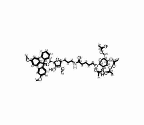 COc1ccc(C(OC[C@H]2O[C@@H](CCCNC(=O)CCCCO[C@@H]3O[C@H](COC(C)=O)[C@H](OC(C)=O)[C@H](OC(C)=O)[C@H]3NC(C)=O)[C@H](OC)[C@@H]2O)(c2ccccc2)c2ccc(OC)cc2)cc1